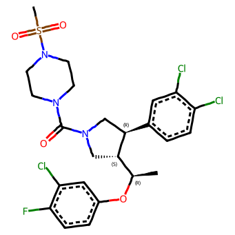 C[C@@H](Oc1ccc(F)c(Cl)c1)[C@@H]1CN(C(=O)N2CCN(S(C)(=O)=O)CC2)C[C@H]1c1ccc(Cl)c(Cl)c1